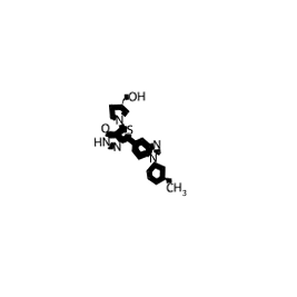 CC[C@H]1CCC[C@H](n2cnc3cc(-c4sc(N5CC[C@H](CO)C5)c5c(=O)[nH]cnc45)ccc32)C1